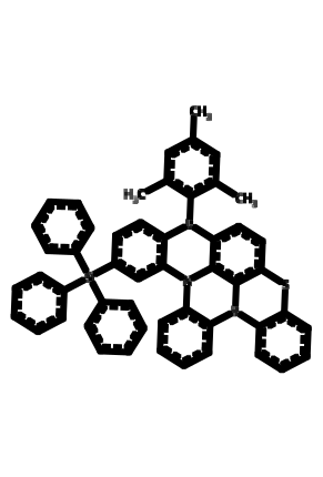 Cc1cc(C)c(B2c3ccc([Si](c4ccccc4)(c4ccccc4)c4ccccc4)cc3N3c4ccccc4B4c5ccccc5Sc5ccc2c3c54)c(C)c1